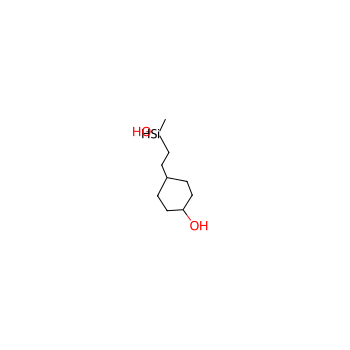 C[SiH](O)CCC1CCC(O)CC1